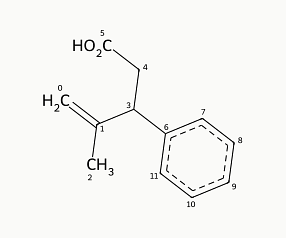 C=C(C)C(CC(=O)O)c1ccccc1